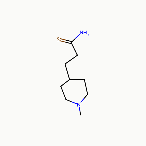 CN1CCC(CCC(N)=S)CC1